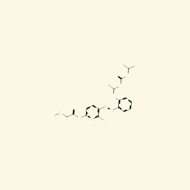 CNCC(=O)Nc1ccc(/N=N/c2ccccc2OC(C)OC(=O)OC(C)C)c(N)n1